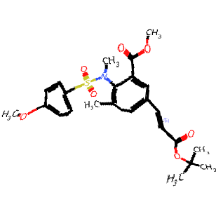 COC(=O)c1cc(/C=C/C(=O)OC(C)(C)C)cc(C)c1N(C)S(=O)(=O)c1ccc(OC)cc1